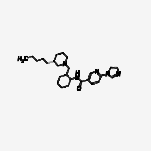 CCCCC[C@@H]1CCCN(CC2CCCCC2NC(=O)c2ccc(-n3ccnc3)nc2)C1